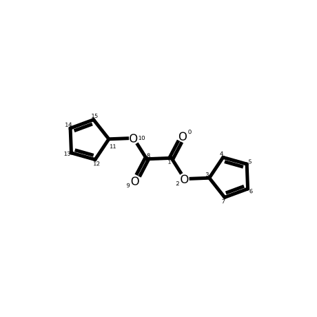 O=C(OC1C=CC=C1)C(=O)OC1C=CC=C1